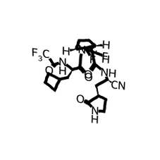 N#C[C@H](C[C@H]1CCNC1=O)NC(=O)[C@@H]1[C@H]2CC[C@H](CC2(F)F)N1C(=O)[C@@H](CC1CCC1)NC(=O)C(F)(F)F